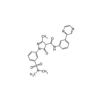 CC1=NN(c2cccc(S(=O)(=O)N(C)C)c2)C(=O)C1C(=O)Nc1cccc(-c2cnccn2)c1